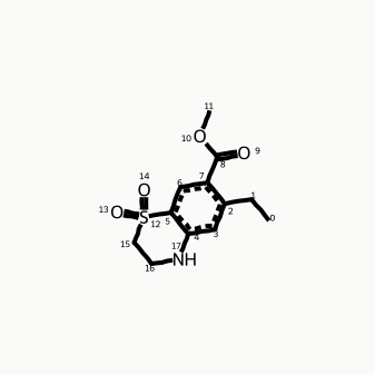 CCc1cc2c(cc1C(=O)OC)S(=O)(=O)CCN2